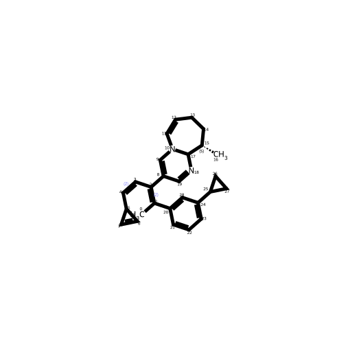 C/C(=C(\C=C/C1C=C1)C1=CN2C=CCC[C@H](C)C2N=C1)c1cccc(C2CC2)c1